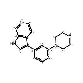 c1cc2c(-c3ccnc(N4CCOCC4)c3)n[nH]c2cn1